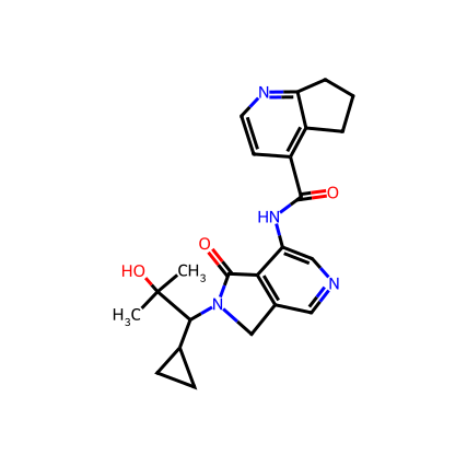 CC(C)(O)C(C1CC1)N1Cc2cncc(NC(=O)c3ccnc4c3CCC4)c2C1=O